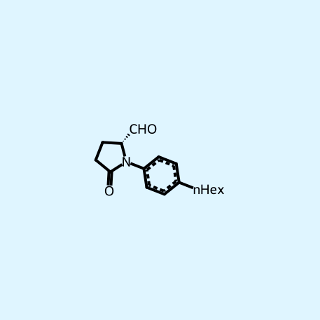 CCCCCCc1ccc(N2C(=O)CC[C@@H]2C=O)cc1